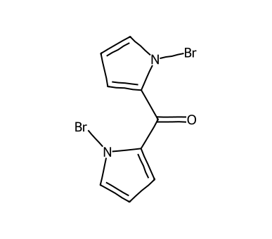 O=C(c1cccn1Br)c1cccn1Br